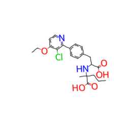 CCCC(C)(NC(Cc1ccc(-c2nccc(OCC)c2Cl)cc1)C(=O)O)C(=O)O